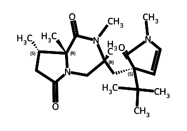 C[C@H]1CC(=O)N2C[C@@](C)(C[C@@]3(C(C)(C)C)C=CN(C)C3=O)N(C)C(=O)[C@@]12C